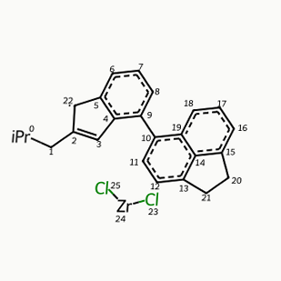 CC(C)CC1=Cc2c(cccc2-c2ccc3c4c(cccc24)CC3)[CH]1.[Cl][Zr][Cl]